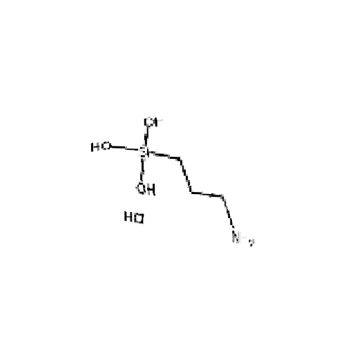 Cl.NCCC[Si](O)(O)O